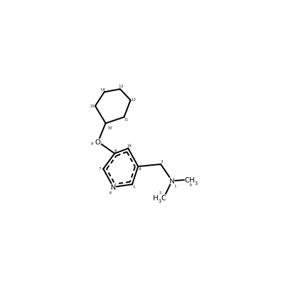 CN(C)Cc1cncc(OC2CCCCC2)c1